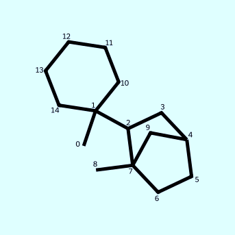 CC1(C2CC3CCC2(C)C3)CCCCC1